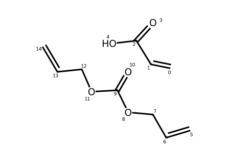 C=CC(=O)O.C=CCOC(=O)OCC=C